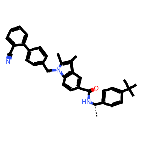 Cc1c(C)n(Cc2ccc(-c3ccccc3C#N)cc2)c2ccc(C(=O)N[C@@H](C)c3ccc(C(C)(C)C)cc3)cc12